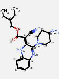 CCC(CC)COC(=O)C(C#N)=C1Nc2ccccc2N=C1N1CCC(N)CC1